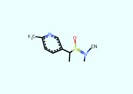 CC(c1ccc(C(F)(F)F)nc1)S([O-])=[N+](C)C#N